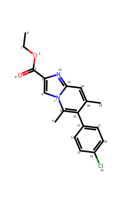 CCOC(=O)c1cn2c(C)c(-c3ccc(Cl)cc3)c(C)cc2n1